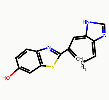 C=C(/C=c1/[nH]cn/c1=C/C)c1nc2ccc(O)cc2s1